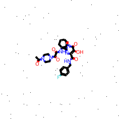 CC(=O)N1CCN(C(=O)C(=O)NC23CCC(CC2)Cn2c3nc(C(=O)NCc3ccc(F)cc3)c(O)c2=O)CC1